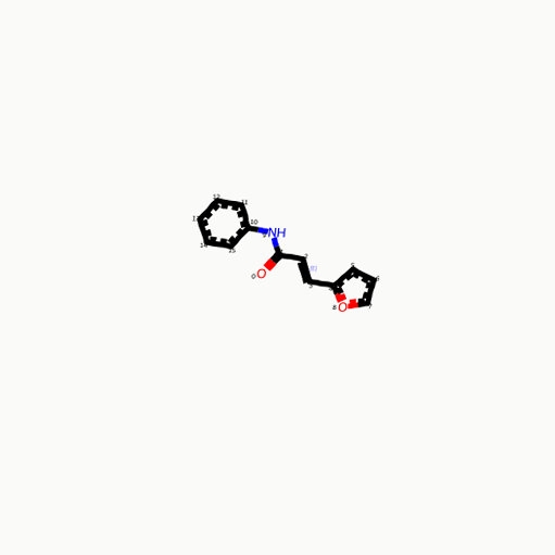 O=C(/C=C/c1ccco1)Nc1ccccc1